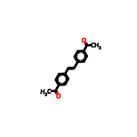 CC(=O)c1ccc(/C=C/c2ccc(C(C)=O)cc2)cc1